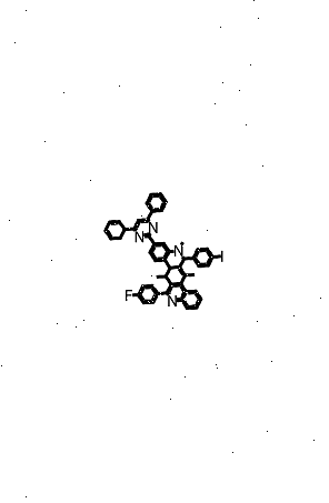 CC1=C2C(c3ccc(-c4nc(-c5ccccc5)cc(C5C=CC=CC5)n4)cc3N(C)C2c2ccc(I)cc2)C(C)c2c(-c3ccc(F)cc3)nc3ccccc3c21